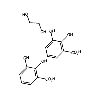 O=C(O)c1cccc(O)c1O.O=C(O)c1cccc(O)c1O.OCCO